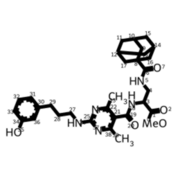 COC(=O)C(CNC(=O)C12CC3CC(CC(C3)C1)C2)NC(=O)c1c(C)nc(NCCCc2cccc(O)c2)nc1C